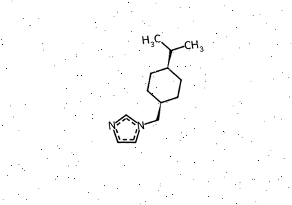 CC(C)[C@H]1CC[C@@H](Cn2ccnc2)CC1